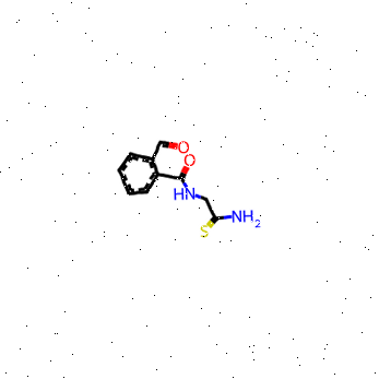 NC(=S)CNC(=O)c1ccccc1C=O